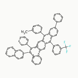 Cc1cccc(-c2c3cc(-c4ccccc4)ccc3c(-c3cccc(C(F)(F)F)c3)c3cc4c(cc23)c(-c2ccccc2)c(-c2ccc3ccccc3c2)c2ccccc24)c1